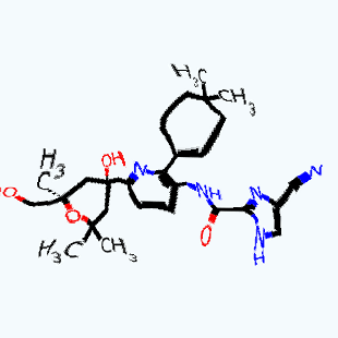 CC1(C)CC=C(c2nc([C@]3(O)CC(C)(C)O[C@@](C)(CO)C3)ccc2NC(=O)c2nc(C#N)c[nH]2)CC1